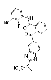 CN(C(=O)O)c1nc2ccc(C(=O)c3ccccc3C(=O)Nc3cccc(Br)c3F)cc2[nH]1